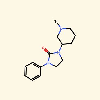 [2H]N1CCCC(N2CCN(c3ccccc3)C2=O)C1